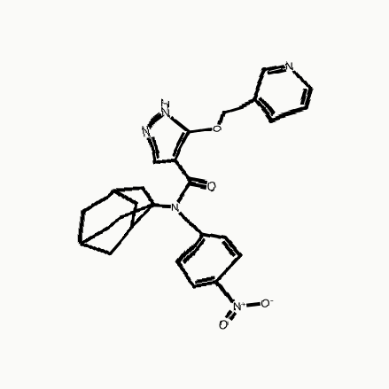 O=C(c1cn[nH]c1OCc1cccnc1)N(c1ccc([N+](=O)[O-])cc1)C12CC3CC(CC1C3)C2